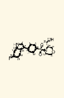 O=S(=O)(c1ccc(-c2c[nH]c3cc(F)ccc23)cc1)N1CCOC[C@H]1CO